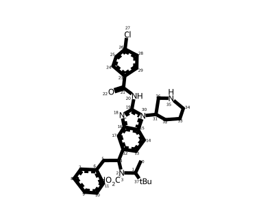 CC(N(C(=O)O)C(Cc1ccccc1)c1ccc2c(c1)nc(NC(=O)c1ccc(Cl)cc1)n2C1CCCNC1)C(C)(C)C